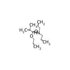 C=CCNCC=C.C=CCOC(=O)C(=C)C